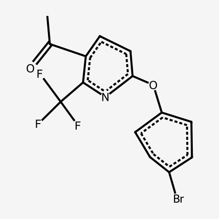 CC(=O)c1ccc(Oc2ccc(Br)cc2)nc1C(F)(F)F